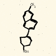 CCCCCCCCC1CCC(c2ccc3cc(C)ccc3c2)CC1